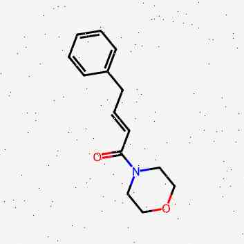 O=C(/C=C/Cc1ccccc1)N1CCOCC1